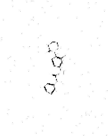 Cc1cc(NC(=O)Cc2ccccc2)ccc1N1CCCCC1=O